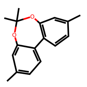 Cc1ccc2c(c1)OC(C)(C)Oc1cc(C)ccc1-2